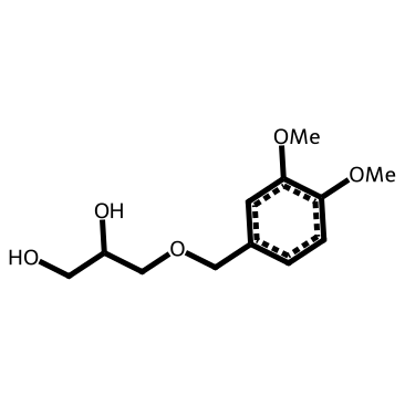 COc1ccc(COCC(O)CO)cc1OC